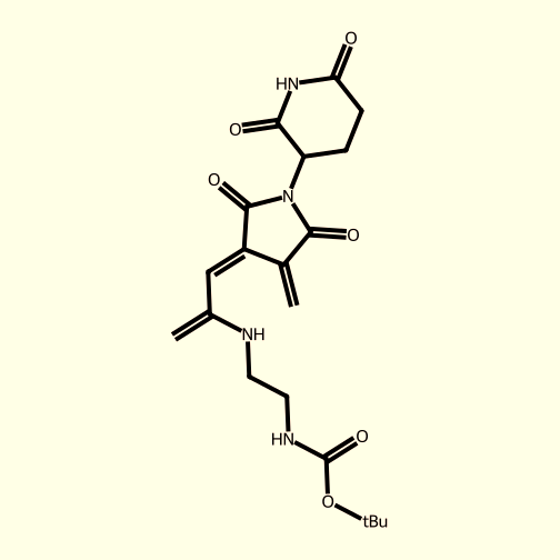 C=C(/C=C1\C(=C)C(=O)N(C2CCC(=O)NC2=O)C1=O)NCCNC(=O)OC(C)(C)C